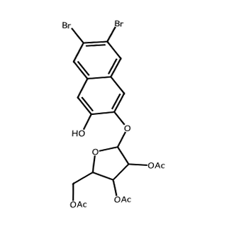 CC(=O)OCC1OC(Oc2cc3cc(Br)c(Br)cc3cc2O)C(OC(C)=O)C1OC(C)=O